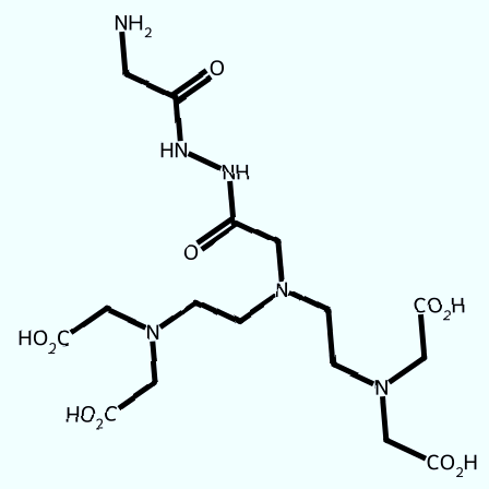 NCC(=O)NNC(=O)CN(CCN(CC(=O)O)CC(=O)O)CCN(CC(=O)O)CC(=O)O